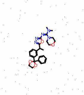 CC(c1cccc(C2(c3ccccc3)OCCO2)c1)c1nnc(N=C(N(C)C)N2CCOCC2)o1